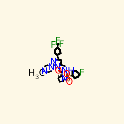 CN1CCN(c2nc(CNC(=O)[C@@H]3CCCN3S(=O)(=O)c3ccc(F)cc3)cc(-c3ccc(C(F)(F)F)cc3)n2)CC1